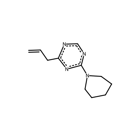 C=CCc1ncnc(N2CCCCC2)n1